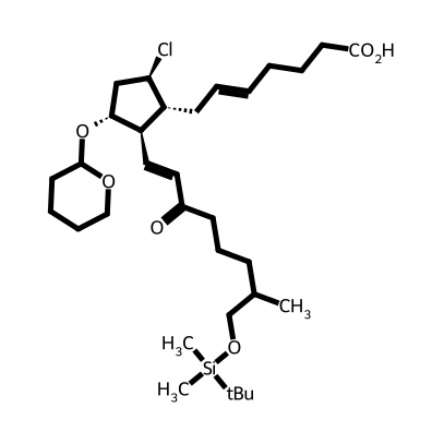 CC(CCCC(=O)C=C[C@@H]1[C@@H](CC=CCCCC(=O)O)[C@H](Cl)C[C@H]1OC1CCCCO1)CO[Si](C)(C)C(C)(C)C